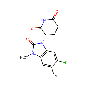 CC(C)c1cc2c(cc1F)n([C@H]1CCC(=O)NC1=O)c(=O)n2C